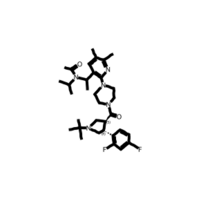 CC(=O)N(C(C)C)C(C)c1cc(C)c(C)nc1N1CCN(C(=O)[C@@H]2CN(C(C)(C)C)C[C@H]2c2ccc(F)cc2F)CC1